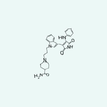 NC(=O)C1CCN(CCCn2cc(C3=C(Nc4ccccc4)C(=O)NC3=O)c3ccccc32)CC1